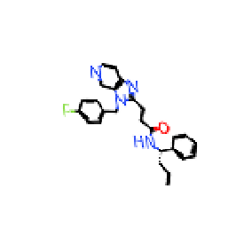 CCC[C@H](NC(=O)CCc1nc2ccncc2n1Cc1ccc(F)cc1)c1ccccc1